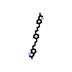 Cc1cnc2cc(/C=C/C=C/c3ccc(/C=C/C=C/c4ccc5cc(C)cnc5c4)cc3)ccc2c1